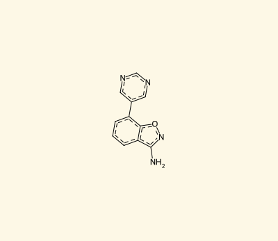 Nc1noc2c(-c3cncnc3)cccc12